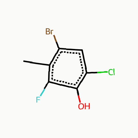 Cc1c(Br)cc(Cl)c(O)c1F